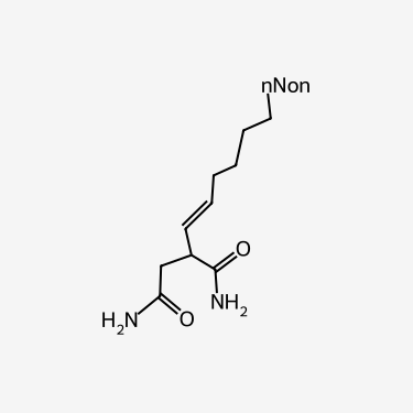 CCCCCCCCCCCCCC=CC(CC(N)=O)C(N)=O